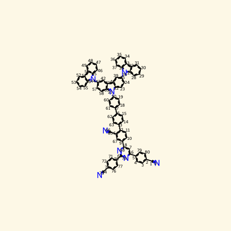 N#Cc1ccc(-c2cc(-c3ccc(-c4ccc(-c5ccc(-n6c7ccc(-n8c9ccccc9c9ccccc98)cc7c7cc(-n8c9ccccc9c9ccccc98)ccc76)cc5)cc4)c(C#N)c3)nc(-c3ccc(C#N)cc3)n2)cc1